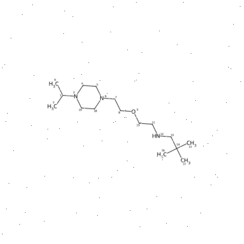 CC(C)N1CCN(CCOCCNCC(C)(C)C)CC1